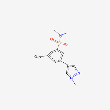 CN(C)S(=O)(=O)c1cc(-c2cnn(C)c2)cc([N+](=O)[O-])c1